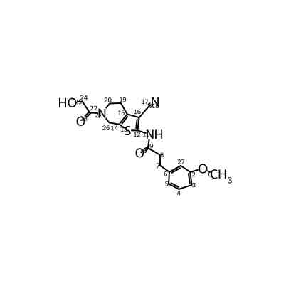 COc1cccc(CCC(=O)Nc2sc3c(c2C#N)CCN(C(=O)CO)C3)c1